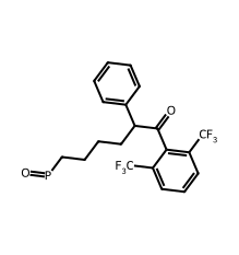 O=PCCCCC(C(=O)c1c(C(F)(F)F)cccc1C(F)(F)F)c1ccccc1